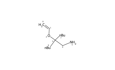 C=COC(CN)(CCCC)CCCC